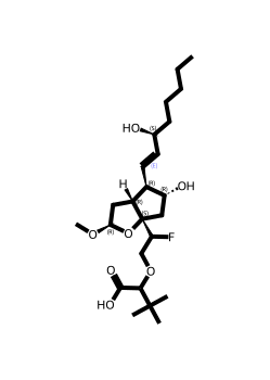 CCCCC[C@H](O)/C=C/[C@H]1[C@H](O)C[C@]2(C(F)COC(C(=O)O)C(C)(C)C)O[C@@H](OC)C[C@H]12